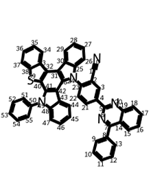 N#Cc1cc(-c2nc(-c3ccccc3)c3ccccc3n2)ccc1-n1c2ccccc2c2c3c4ccccc4sc3c3c(c4ccccc4n3-c3ccccc3)c21